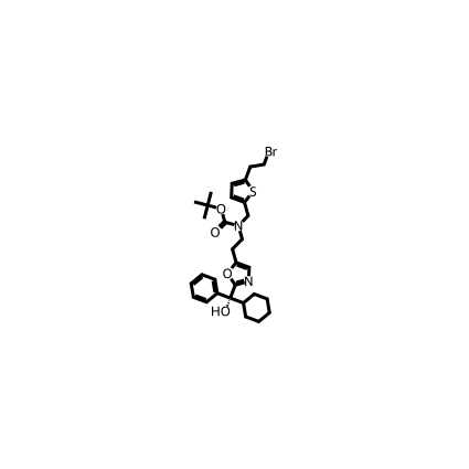 CC(C)(C)OC(=O)N(CCc1cnc([C@](O)(c2ccccc2)C2CCCCC2)o1)Cc1ccc(CCBr)s1